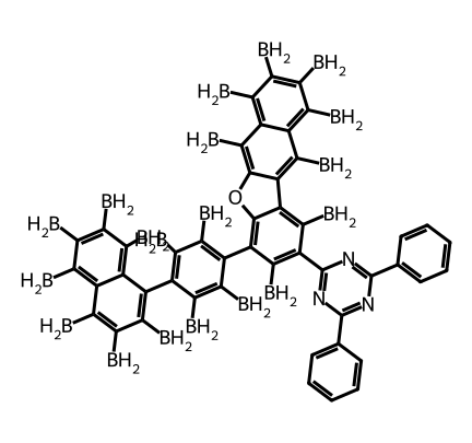 Bc1c(B)c(-c2c(B)c(B)c(B)c3c(B)c(B)c(B)c(B)c23)c(B)c(B)c1-c1c(B)c(-c2nc(-c3ccccc3)nc(-c3ccccc3)n2)c(B)c2c1oc1c(B)c3c(B)c(B)c(B)c(B)c3c(B)c12